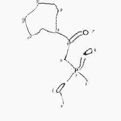 COP(C)(=O)CC(=O)C1CCCC1